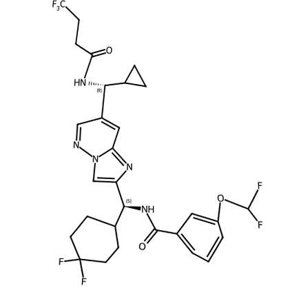 O=C(CCC(F)(F)F)N[C@@H](c1cnn2cc([C@@H](NC(=O)c3cccc(OC(F)F)c3)C3CCC(F)(F)CC3)nc2c1)C1CC1